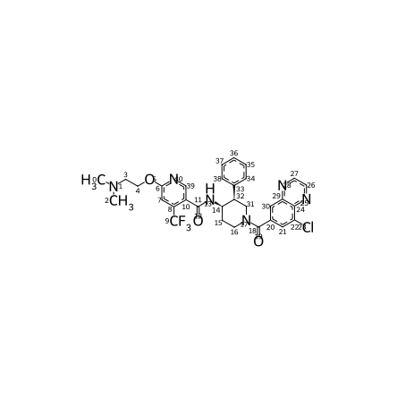 CN(C)CCOc1cc(C(F)(F)F)c(C(=O)N[C@@H]2CCN(C(=O)c3cc(Cl)c4nccnc4c3)C[C@@H]2c2ccccc2)cn1